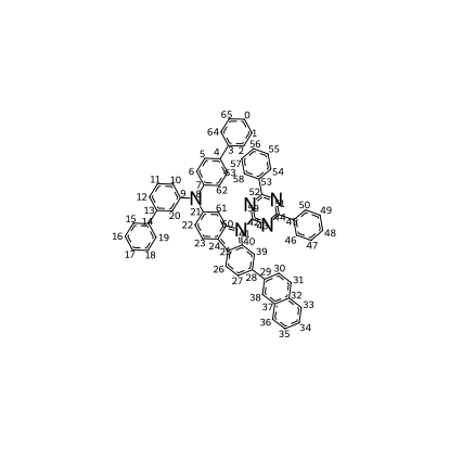 c1ccc(-c2ccc(N(c3cccc(-c4ccccc4)c3)c3ccc4c5ccc(-c6ccc7ccccc7c6)cc5n(-c5nc(-c6ccccc6)nc(-c6ccccc6)n5)c4c3)cc2)cc1